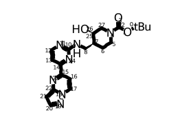 CC(C)(C)OC(=O)N1CC[C@@H](CNc2nccc(-c3ccn4nccc4n3)n2)[C@H](O)C1